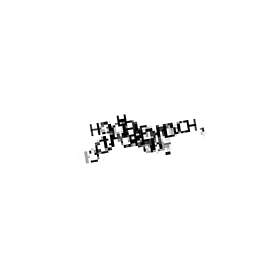 CN1CCN([C@H]2C[C@H]3[C@@H]4CC[C@H]5C[C@H](O)[C@@H](N6CCC(O)CC6)C[C@]5(C)[C@H]4CC[C@]3(C)[C@H]2O)CC1